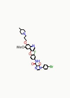 COc1cc2c(Oc3ccc(NC(=O)c4nccn(-c5ccc(Br)cc5)c4=O)cc3F)ccnc2cc1OCCCN1CCC(C)CC1